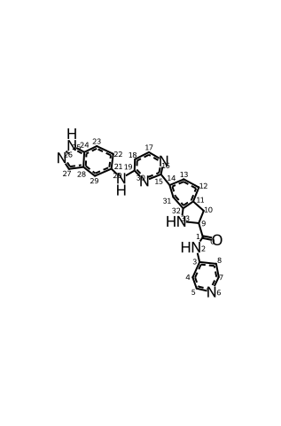 O=C(Nc1ccncc1)C1Cc2ccc(-c3nccc(Nc4ccc5[nH]ncc5c4)n3)cc2N1